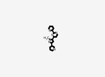 Cn1nc(-c2cccnc2)cc1-c1ccnc(-c2ccccn2)n1